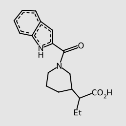 CCC(C(=O)O)C1CCCN(C(=O)c2cc3ccccc3[nH]2)C1